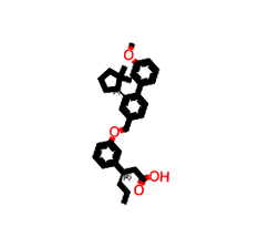 CCC[C@H](CC(=O)O)c1cccc(OCc2ccc(-c3cccc(OC)c3)c([C@@H]3CCCC3(C)C)c2)c1